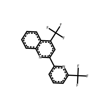 FC(F)(F)c1cccc(-c2cc(C(F)(F)F)c3ccccc3n2)n1